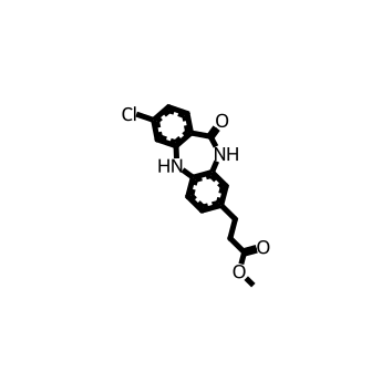 COC(=O)CCc1ccc2c(c1)NC(=O)c1ccc(Cl)cc1N2